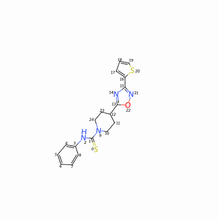 S=C(Nc1ccccc1)N1CCC(c2nc(-c3cccs3)no2)CC1